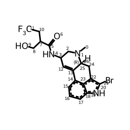 CN1CC(NC(=O)C(CO)CC(F)(F)F)C=C2c3cccc4[nH]c(Br)c(c34)C[C@H]21